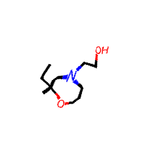 CCC1(C)CN(CCO)CCO1